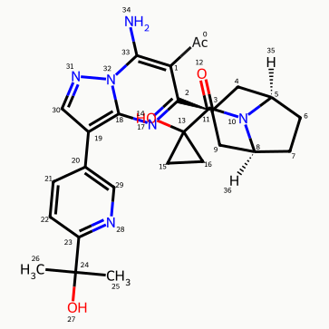 CC(=O)c1c([C@H]2C[C@H]3CC[C@@H](C2)N3C(=O)C2(O)CC2)nc2c(-c3ccc(C(C)(C)O)nc3)cnn2c1N